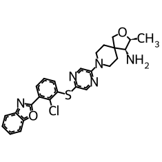 C[C@@H]1OCC2(CCN(c3cnc(Sc4cccc(-c5nc6ccccc6o5)c4Cl)cn3)CC2)[C@@H]1N